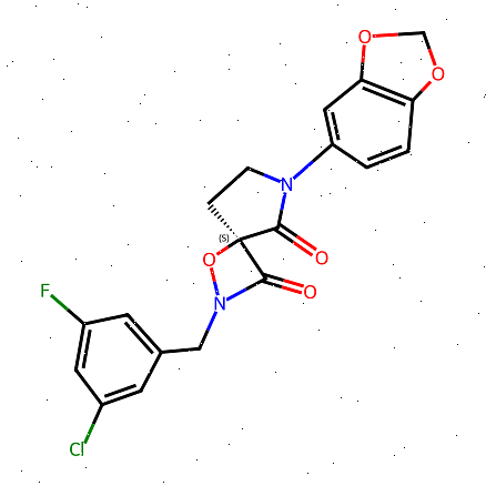 O=C1N(Cc2cc(F)cc(Cl)c2)O[C@]12CCN(c1ccc3c(c1)OCO3)C2=O